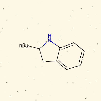 CCCCC1Cc2ccccc2N1